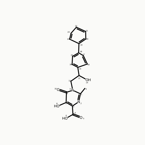 Cc1nc(C(=O)O)c(O)c(=O)n1CC(O)c1ccc(-c2ccccc2)cc1